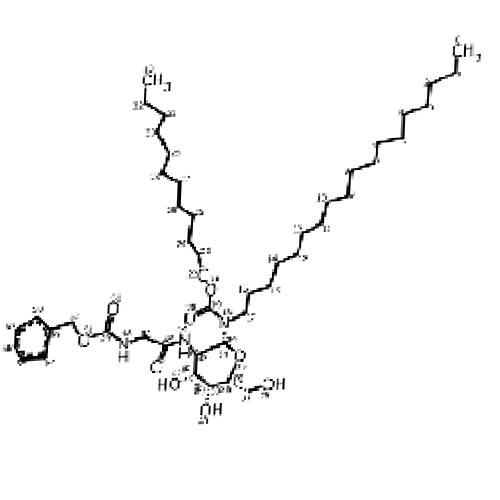 CCCCCCCCCCCCCCCCCCN(C(=O)OCCCCCCCCCCCC)[C@@H]1O[C@H](CO)[C@H](O)[C@H](O)[C@H]1NC(=O)CNC(=O)OCc1ccccc1